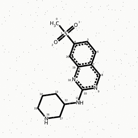 CS(=O)(=O)c1ccc2cnc(NC3CCCNC3)nc2c1